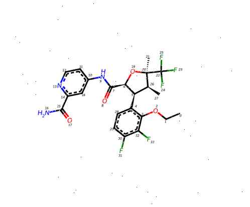 CCOc1c([C@H]2[C@@H](C(=O)Nc3ccnc(C(N)=O)c3)O[C@@](C)(C(F)(F)F)[C@H]2C)ccc(F)c1F